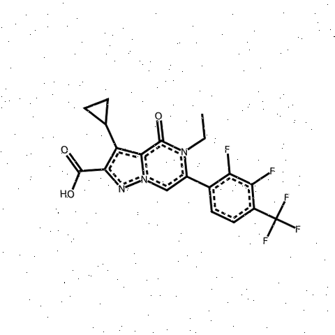 CCn1c(-c2ccc(C(F)(F)F)c(F)c2F)cn2nc(C(=O)O)c(C3CC3)c2c1=O